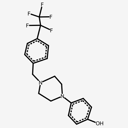 Oc1ccc(N2CCN(Cc3ccc(C(F)(F)C(F)(F)F)cc3)CC2)cc1